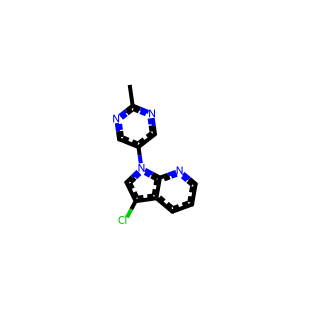 Cc1ncc(-n2cc(Cl)c3cccnc32)cn1